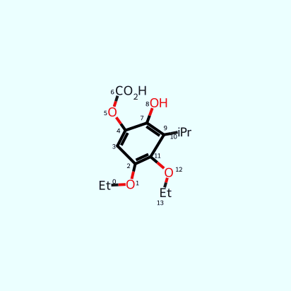 CCOc1cc(OC(=O)O)c(O)c(C(C)C)c1OCC